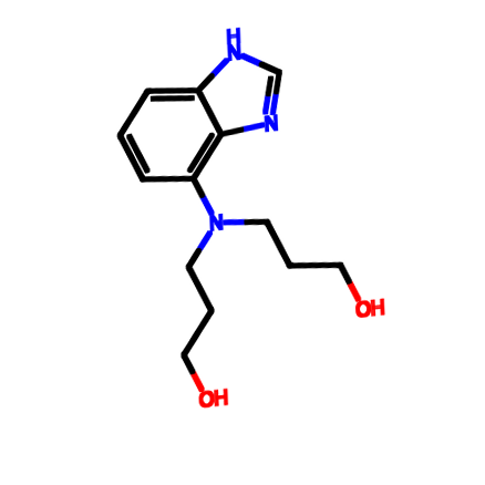 OCCCN(CCCO)c1cccc2[nH]cnc12